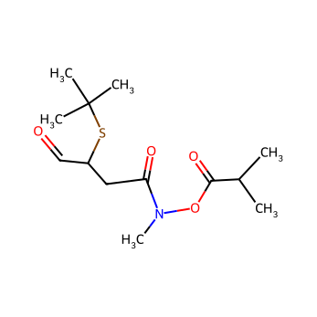 CC(C)C(=O)ON(C)C(=O)CC(C=O)SC(C)(C)C